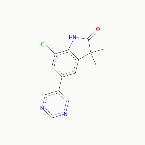 CC1(C)C(=O)Nc2c(Cl)cc(-c3cncnc3)cc21